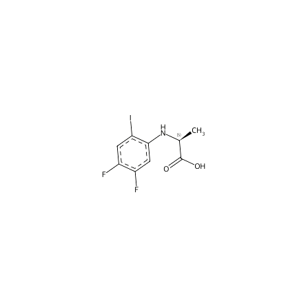 C[C@H](Nc1cc(F)c(F)cc1I)C(=O)O